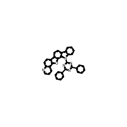 c1ccc(-c2nc(-c3ccccc3)nc(-n3c4ccccc4c4ccc5c6ccc7ncccc7c6oc5c43)n2)cc1